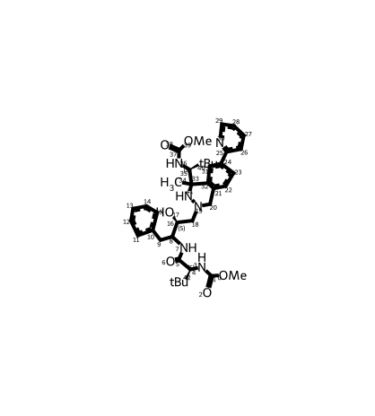 COC(=O)N[C@H](C(=O)NC(Cc1ccccc1)[C@@H](O)CN1Cc2ccc(-c3ccccn3)cc2C(C)([C@@H](NC(=O)OC)C(C)(C)C)N1)C(C)(C)C